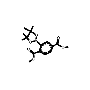 COC(=O)c1ccc(C(=O)OC)c(B2OC(C)(C)C(C)(C)O2)c1